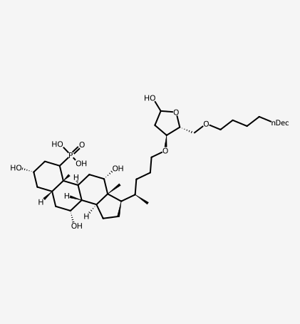 CCCCCCCCCCCCCCOC[C@H]1OC(O)C[C@@H]1OCCC[C@@H](C)[C@H]1CC[C@H]2[C@@H]3[C@H](O)C[C@@H]4C[C@H](O)CC(P(=O)(O)O)[C@]4(C)[C@H]3C[C@H](O)[C@]12C